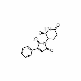 O=C1CCC(N2C(=O)C=C(c3ccccc3)C2=O)C(=O)N1